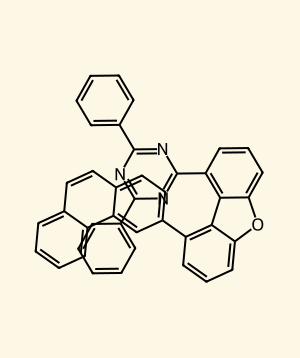 c1ccc(-c2nc(-c3ccccc3)nc(-c3cccc4oc5cccc(-c6ccc7ccc8ccccc8c7c6)c5c34)n2)cc1